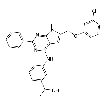 CC(O)c1cccc(Nc2nc(-c3ccccc3)nc3[nH]c(COc4cccc(Cl)c4)cc23)c1